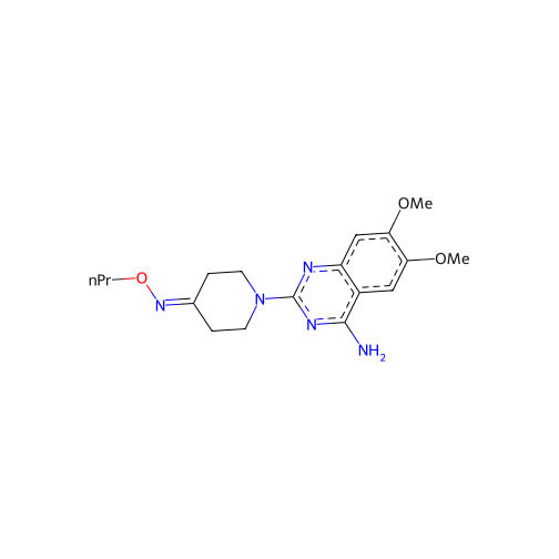 CCCON=C1CCN(c2nc(N)c3cc(OC)c(OC)cc3n2)CC1